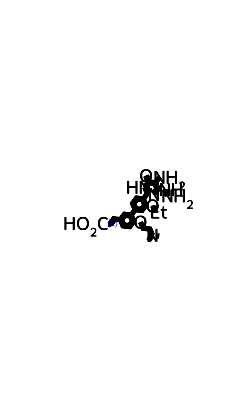 CCOc1cc(-c2cc(/C=C/C(=O)O)ccc2OCCN(C)C)ccc1-c1nc(NN)c(N)c(=O)[nH]1